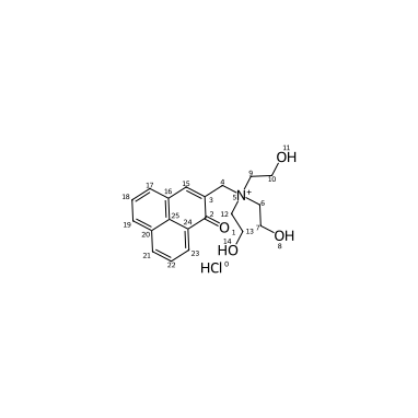 Cl.O=C1C(C[N+](CCO)(CCO)CCO)=Cc2cccc3cccc1c23